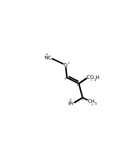 CC(C)C(C)C(=COC#N)C(=O)O